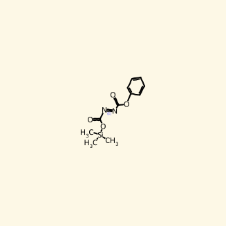 C[Si](C)(C)OC(=O)/N=N/C(=O)Oc1ccccc1